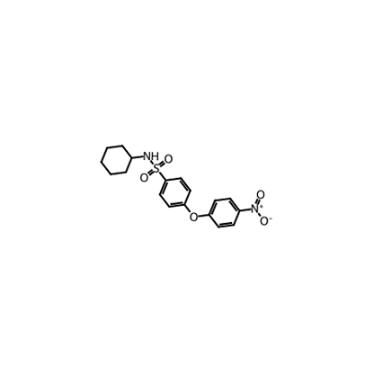 O=[N+]([O-])c1ccc(Oc2ccc(S(=O)(=O)NC3CCCCC3)cc2)cc1